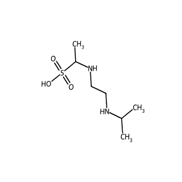 CC(C)NCCNC(C)S(=O)(=O)O